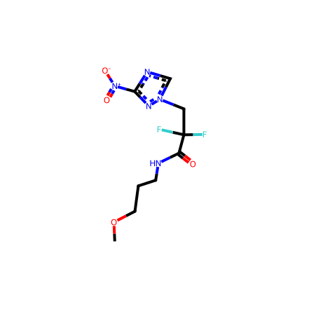 COCCCNC(=O)C(F)(F)Cn1cnc([N+](=O)[O-])n1